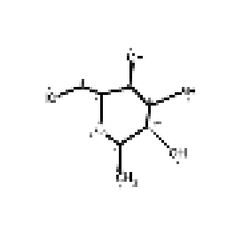 C[C@H]1OC(CO)[C@@H](O)C(S)[C@@H]1O